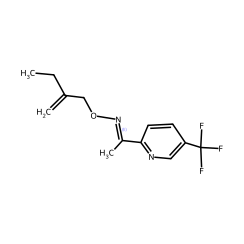 C=C(CC)CO/N=C(\C)c1ccc(C(F)(F)F)cn1